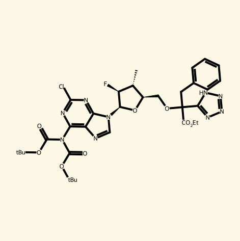 CCOC(=O)C(Cc1ccccc1)(OC[C@H]1O[C@@H](n2cnc3c(N(C(=O)OC(C)(C)C)C(=O)OC(C)(C)C)nc(Cl)nc32)[C@@H](F)[C@@H]1C)c1nnn[nH]1